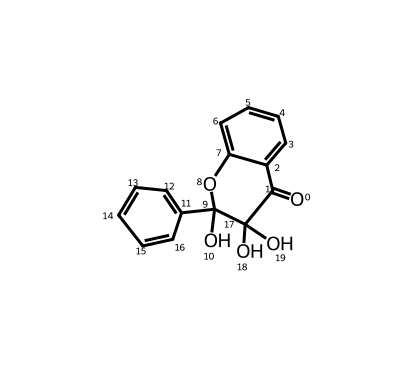 O=C1c2ccccc2OC(O)(c2ccccc2)C1(O)O